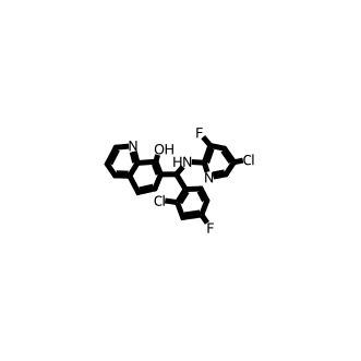 Oc1c(C(Nc2ncc(Cl)cc2F)c2ccc(F)cc2Cl)ccc2cccnc12